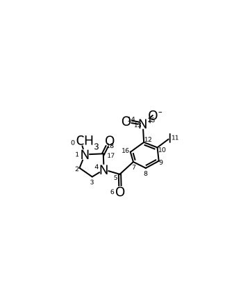 CN1CCN(C(=O)c2ccc(I)c([N+](=O)[O-])c2)C1=O